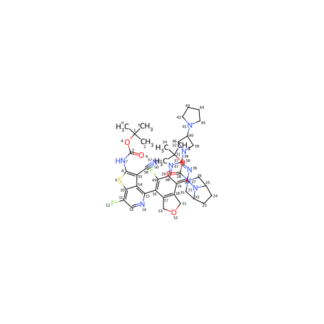 CC(C)(C)OC(=O)Nc1sc2c(F)cnc(-c3c4c(c5c(N6C7CCC6CN(C(=O)OC(C)(C)C)C7)nc(N6CC(N7CCCC7)C6)nc5c3F)COC4)c2c1C#N